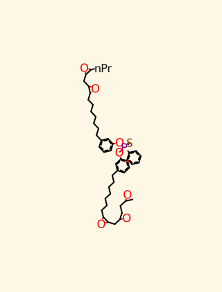 CCCC1OC1CC1OC1CCCCCCCc1cccc(OP(=S)(Oc2cccc(CCCCCCCC3OC3CC3OC3CC3CO3)c2)c2ccccc2)c1